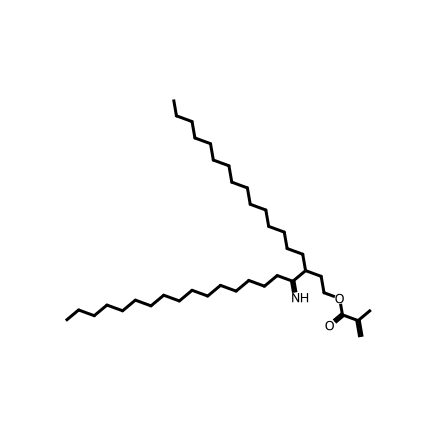 C=C(C)C(=O)OCCC(CCCCCCCCCCCCCCC)C(=N)CCCCCCCCCCCCCCCC